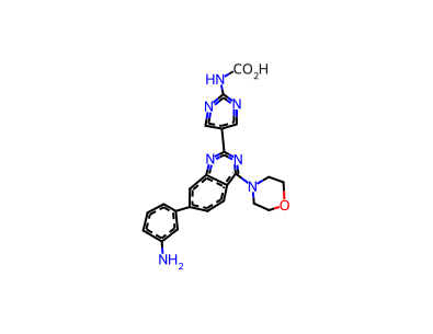 Nc1cccc(-c2ccc3c(N4CCOCC4)nc(-c4cnc(NC(=O)O)nc4)nc3c2)c1